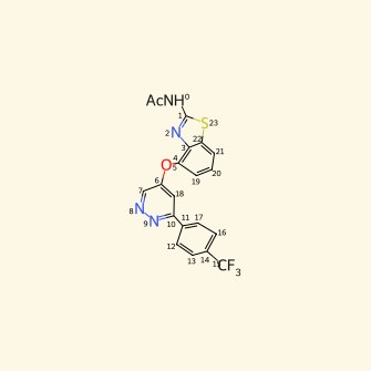 CC(=O)Nc1nc2c(Oc3cnnc(-c4ccc(C(F)(F)F)cc4)c3)cccc2s1